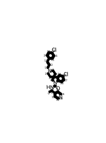 CC(NC(=O)N1CC2(CCN(CC=Cc3ccc(Cl)cc3)CC2)c2cc(Cl)ccc21)c1ccncc1